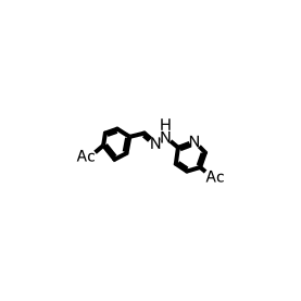 CC(=O)c1ccc(/C=N/Nc2ccc(C(C)=O)cn2)cc1